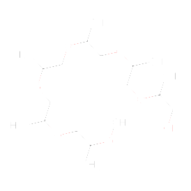 COC(C)COC(C)COC(C)COC(C)COC(C)COC(C)CO